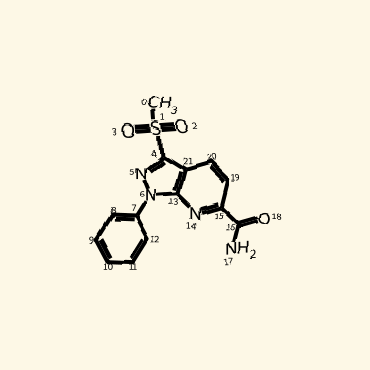 CS(=O)(=O)c1nn(-c2ccccc2)c2nc(C(N)=O)ccc12